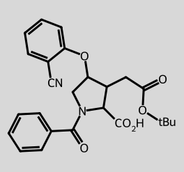 CC(C)(C)OC(=O)CC1C(Oc2ccccc2C#N)CN(C(=O)c2ccccc2)C1C(=O)O